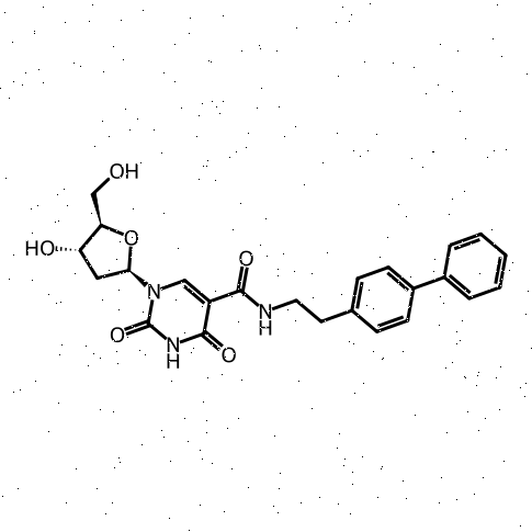 O=C(NCCc1ccc(-c2ccccc2)cc1)c1cn([C@H]2C[C@H](O)[C@@H](CO)O2)c(=O)[nH]c1=O